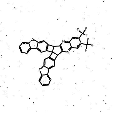 FC(F)(F)c1cc2nc3c(nc2cc1C(F)(F)F)C1c2cc4sc5ccccc5c4cc2C12c1cc4sc5ccccc5c4cc1C32